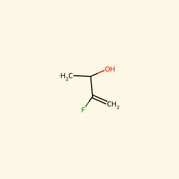 [CH2]C(O)C(=C)F